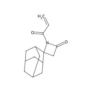 C=CC(=O)N1C(=O)CC12C1CC3CC(C1)CC2C3